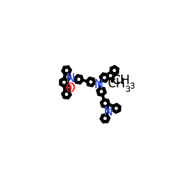 CC1(C)c2ccccc2-c2ccc(N(c3ccc(-c4ccc(-n5c6ccccc6c6ccc7c8ccccc8oc7c65)cc4)cc3)c3ccc(-c4ccc5c(c4)c4ccccc4n5-c4ccccc4)cc3)cc21